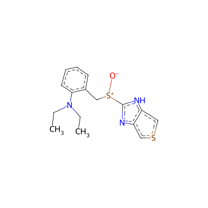 CCN(CC)c1ccccc1C[S+]([O-])c1nc2cscc2[nH]1